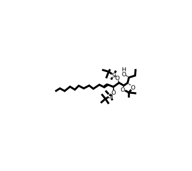 CCCCCCCCCCC=C[C@H](O[Si](C)(C)C(C)(C)C)[C@H](O[Si](C)(C)C(C)(C)C)[C@H]1OC(C)(C)O[C@H]1[C@H](O)CC